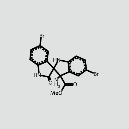 COC(=O)C1(N)c2cc(Br)ccc2NC12C(=O)Nc1ccc(Br)cc12